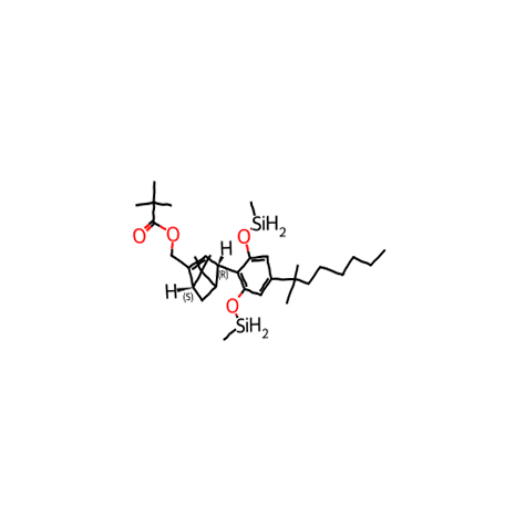 CCCCCCC(C)(C)c1cc(O[SiH2]C)c([C@H]2C=C(COC(=O)C(C)(C)C)[C@H]3CC2C3(C)C)c(O[SiH2]C)c1